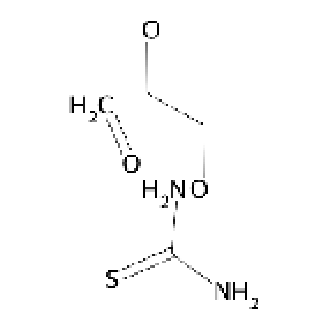 C=O.NC(N)=S.O=CC=O